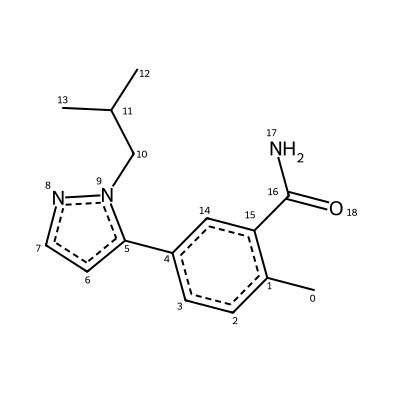 Cc1ccc(-c2ccnn2CC(C)C)cc1C(N)=O